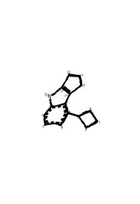 c1cc2c(c(C3CCC3)c1)C1=C(CCC1)[N]2